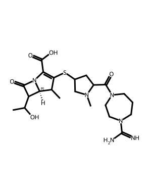 CC(O)C1C(=O)N2C(C(=O)O)=C(SC3CC(C(=O)N4CCCN(C(=N)N)CC4)N(C)C3)C(C)[C@@H]12